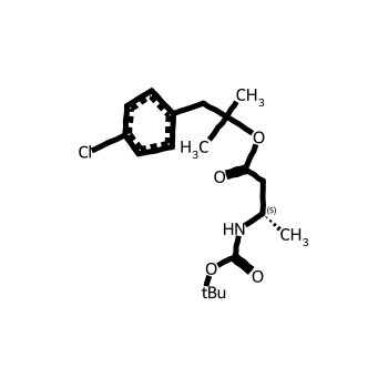 C[C@@H](CC(=O)OC(C)(C)Cc1ccc(Cl)cc1)NC(=O)OC(C)(C)C